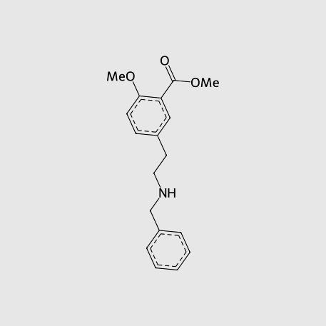 COC(=O)c1cc(CCNCc2ccccc2)ccc1OC